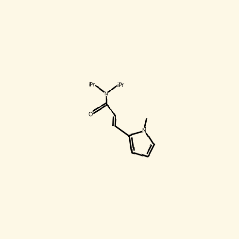 CC(C)N(C(=O)C=Cc1cccn1C)C(C)C